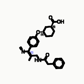 C=N/C(=C(\C)CNC(=O)Cc1ccccc1)c1ccc(O[C@H]2CCC[C@H](C(=O)O)C2)cc1